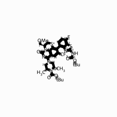 COC[C@H]1CSc2c(-c3ccc(F)c4sc(NC(=O)OC(C)(C)C)nc34)c(C(F)(F)F)cc3c(N4C[C@@H](C)N(C(=O)OC(C)(C)C)[C@@H](C)C4)nc(=O)n1c23